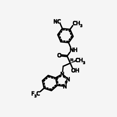 Cc1cc(NC(=O)[C@@](C)(O)Cn2nnc3cc(C(F)(F)F)ccc32)ccc1C#N